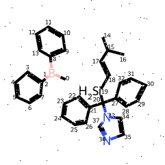 CB(c1ccccc1)c1ccccc1.CC(C)C=C[SiH2]C(c1ccccc1)(c1ccccc1)n1ccnc1